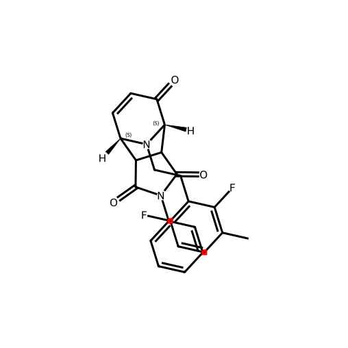 Cc1ccc(F)c(CCN2[C@@H]3C(=O)C=C[C@H]2C2C(=O)N(c4ccccc4)C(=O)C23)c1F